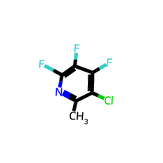 Cc1nc(F)c(F)c(F)c1Cl